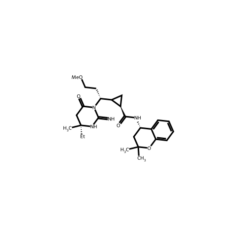 CC[C@]1(C)CC(=O)N([C@H](CCOC)C2C[C@H]2C(=O)N[C@H]2CC(C)(C)Oc3ccccc32)C(=N)N1